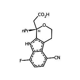 CCC[C@@]1(CC(=O)O)OCCc2c1[nH]c1c(F)ccc(C#N)c21